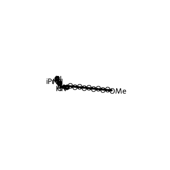 COCCOCCOCCOCCOCCOCCOCCOCCOCCOc1ccc2[nH]c(C(=O)N3CCN(c4ncccc4NC(C)C)CC3)cc2c1